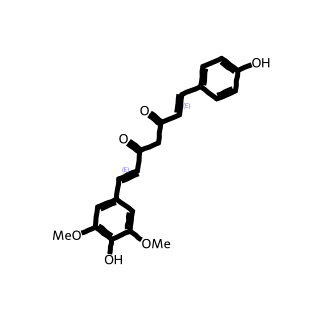 COc1cc(/C=C/C(=O)CC(=O)/C=C/c2ccc(O)cc2)cc(OC)c1O